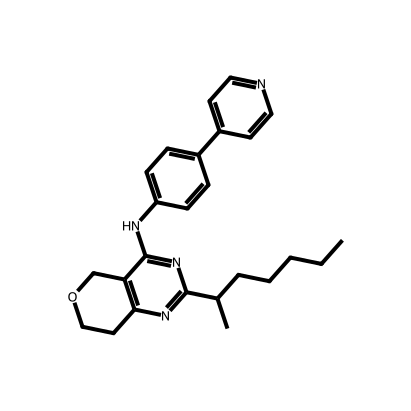 CCCCCC(C)c1nc2c(c(Nc3ccc(-c4ccncc4)cc3)n1)COCC2